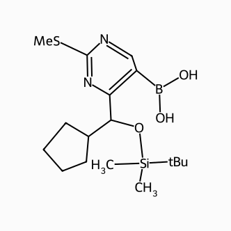 CSc1ncc(B(O)O)c(C(O[Si](C)(C)C(C)(C)C)C2CCCC2)n1